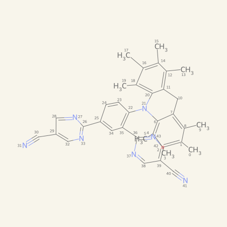 Cc1c(C)c(C)c2c(c1C)Cc1c(C)c(C)c(C)c(C)c1N2c1ccc(-c2ncc(C#N)cn2)cc1-c1ncc(C#N)cn1